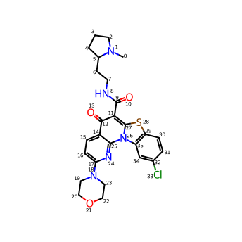 CN1CCCC1CCNC(=O)c1c(=O)c2ccc(N3CCOCC3)nc2n2c1sc1ccc(Cl)cc12